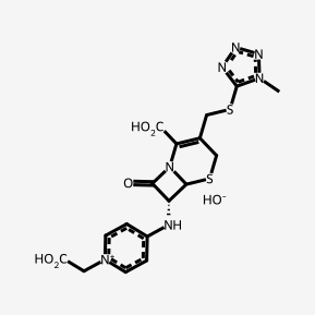 Cn1nnnc1SCC1=C(C(=O)O)N2C(=O)[C@@H](Nc3cc[n+](CC(=O)O)cc3)C2SC1.[OH-]